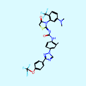 Cc1cc(-n2cnc(-c3ccc(OC(F)(F)F)cc3)n2)ccc1NC(=O)/N=C1\SCC(=O)N1c1cc(N(C)C)ccc1C(F)(F)F